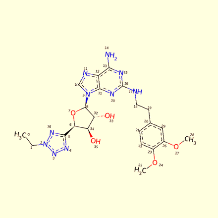 CCn1nnc([C@H]2O[C@@H](n3cnc4c(N)nc(NCCc5ccc(OC)c(OC)c5)nc43)[C@H](O)[C@H]2O)n1